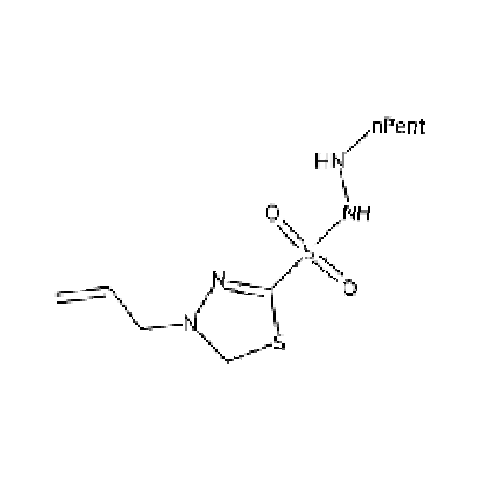 C=CCN1CSC(S(=O)(=O)NNCCCCC)=N1